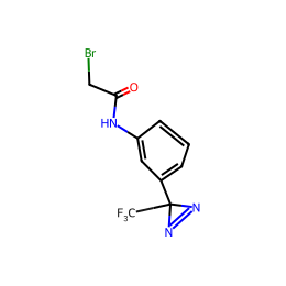 O=C(CBr)Nc1cccc(C2(C(F)(F)F)N=N2)c1